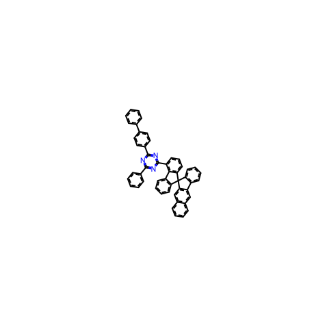 c1ccc(-c2ccc(-c3nc(-c4ccccc4)nc(-c4cccc5c4-c4ccccc4C54c5ccccc5-c5cc6ccccc6cc54)n3)cc2)cc1